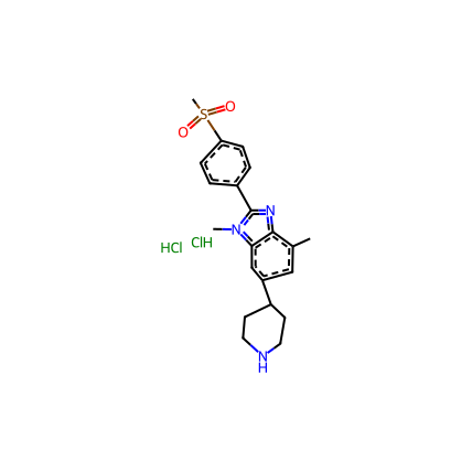 Cc1cc(C2CCNCC2)cc2c1nc(-c1ccc(S(C)(=O)=O)cc1)n2C.Cl.Cl